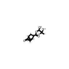 CC(F)(F)C(OC(=O)C1CC2CC1CC2=O)C(F)(F)F